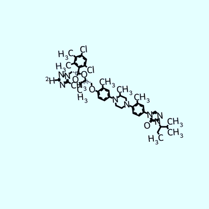 [2H]c1nc(C)n(C[C@@]2(c3c(Cl)cc(Cl)c(C)c3C)OC(C)[C@@H](COc3ccc(N4CCN(c5ccc(-n6cnn(C(CC)C(C)C)c6=O)cc5C)CC4C)cc3C)O2)n1